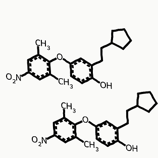 Cc1cc([N+](=O)[O-])cc(C)c1Oc1ccc(O)c(CCC2CCCC2)c1.Cc1cc([N+](=O)[O-])cc(C)c1Oc1ccc(O)c(CCC2CCCC2)c1